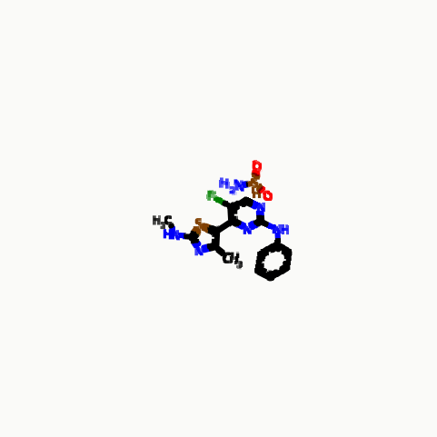 CNc1nc(C)c(-c2nc(Nc3ccccc3)ncc2F)s1.N[SH](=O)=O